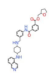 O=C(Nc1cccc(CNC2CCC(Nc3cccc4cnccc34)CC2)c1)c1cccc(C(=O)OCC2CCCO2)c1